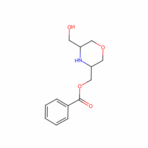 O=C(OCC1COCC(CO)N1)c1ccccc1